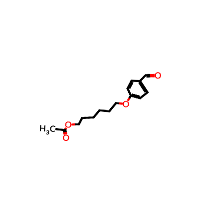 CC(=O)OCCCCCCOc1ccc(C=O)cc1